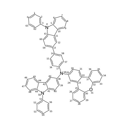 c1ccc(-n2c3ccccc3c3cc(-c4ccc(N(c5ccc6c(c5)-c5ccccc5Oc5ccccc5-6)c5ccc6c(c5)c5ccccc5n6-c5ccccc5)cc4)ccc32)cc1